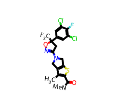 CNC(=O)c1sc2c(c1C)CN(C1=NOC(c3cc(Cl)c(F)c(Cl)c3)(C(F)(F)F)C1)C2